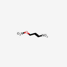 O=[N+]([O-])C=CCO[N+](=O)[O-]